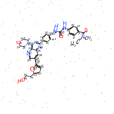 CN(C)C(=O)c1ccc(NC(=O)Nc2ccc(-c3nc(N4CCOCC4)c4ncc(-c5ccc(CCO)o5)cc4n3)cc2)cc1